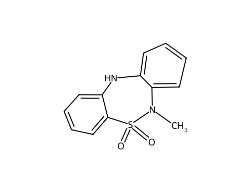 CN1c2ccccc2Nc2ccccc2S1(=O)=O